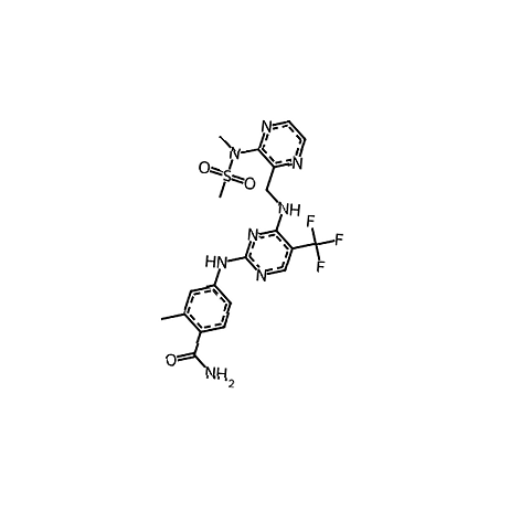 Cc1cc(Nc2ncc(C(F)(F)F)c(NCc3nccnc3N(C)S(C)(=O)=O)n2)ccc1C(N)=O